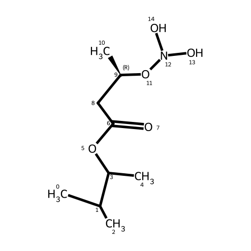 CC(C)C(C)OC(=O)C[C@@H](C)ON(O)O